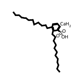 CCCCCCCCCCCCc1cccc(S(=O)(=O)O)c1CCCCCCCCCCCC.[CaH2]